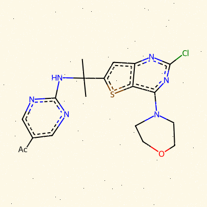 CC(=O)c1cnc(NC(C)(C)c2cc3nc(Cl)nc(N4CCOCC4)c3s2)nc1